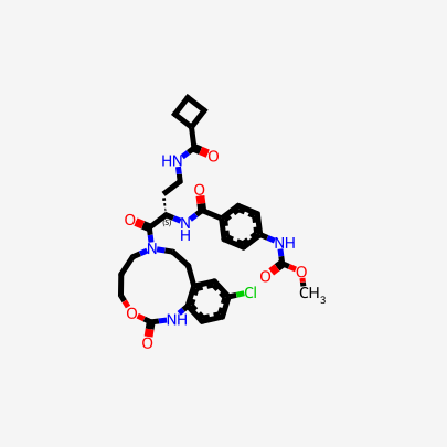 COC(=O)Nc1ccc(C(=O)N[C@@H](CCNC(=O)C2CCC2)C(=O)N2CCCOC(=O)Nc3ccc(Cl)cc3CC2)cc1